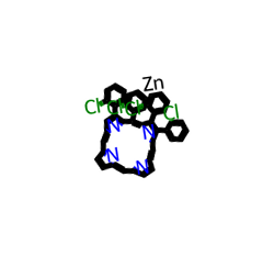 Clc1ccccc1C1=CC2=CC3=NC(=CC4=NC(=CC5=NC(=C(c6ccccc6Cl)C1=N2)C(c1ccccc1Cl)=C5c1ccccc1Cl)C=C4)C=C3.[Zn]